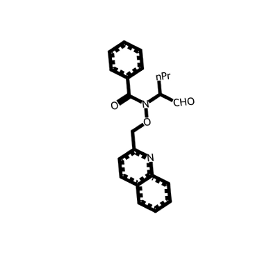 CCCC(C=O)N(OCc1ccc2ccccc2n1)C(=O)c1ccccc1